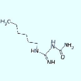 CCCCCCNC(=N)NC(N)=O